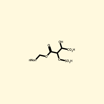 CCCCCCCCCCOC(=O)C(OS(=O)(=O)O)C(O)C(=O)O